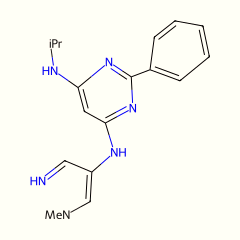 CN/C=C(\C=N)Nc1cc(NC(C)C)nc(-c2ccccc2)n1